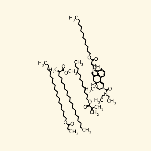 C=C(C)C(=O)OCCCCCCCCCCCC.C=C(CCCCCCCCCCCCCCCCCC)C(=O)OC.C=CC(=O)OCCCCCCCCCCCC.C=CC(=O)OCCCCCCCCCCCCCCCCCC.CCN(CC)C(=O)[C@@H]1C=C2c3cccc4[nH]cc(c34)C[C@H]2N(C)C1